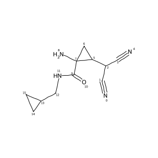 N#CC(C#N)C1CC1(N)C(=O)NCC1CC1